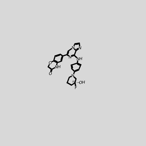 O=C1COc2ccc(-c3cn4ccnc4c(Nc4ccc(N5CCC[C@](O)(F)C5)cc4)n3)cc2N1